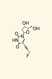 O=c1[nH]c(=O)n([C@H]2C[C@H](O)[C@@H](CO)O2)cc1C#CCF